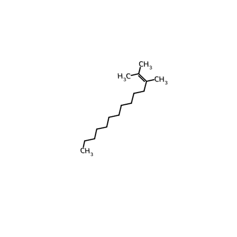 CCCCCCCCCCCC(C)=C(C)C